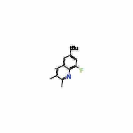 Cc1[c]c2cc(C(C)(C)C)cc(F)c2nc1C